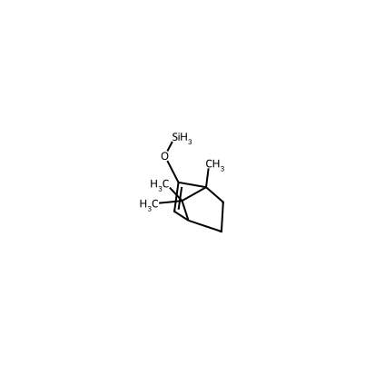 CC12CCC(C=C1O[SiH3])C2(C)C